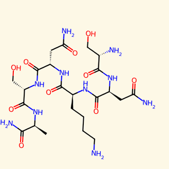 C[C@H](NC(=O)[C@H](CO)NC(=O)[C@H](CC(N)=O)NC(=O)[C@H](CCCCN)NC(=O)[C@H](CC(N)=O)NC(=O)[C@@H](N)CO)C(N)=O